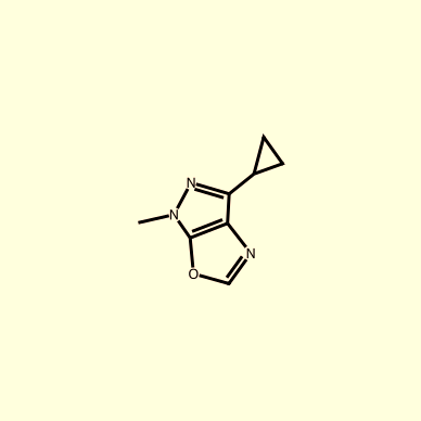 Cn1nc(C2CC2)c2ncoc21